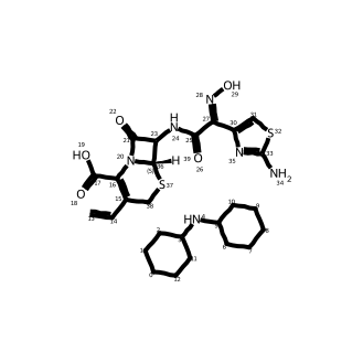 C1CCC(NC2CCCCC2)CC1.C=CC1=C(C(=O)O)N2C(=O)C(NC(=O)C(=NO)c3csc(N)n3)[C@@H]2SC1